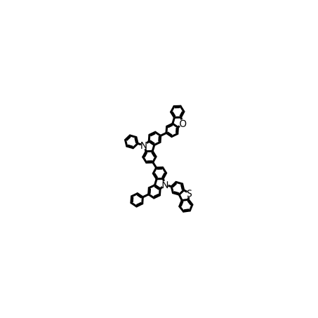 c1ccc(-c2ccc3c(c2)c2cc(-c4ccc5c(c4)c4cc(-c6ccc7oc8ccccc8c7c6)ccc4n5-c4ccccc4)ccc2n3-c2ccc3sc4ccccc4c3c2)cc1